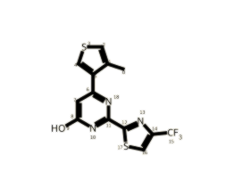 Cc1cscc1-c1cc(O)nc(-c2nc(C(F)(F)F)cs2)n1